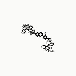 COC(=O)N[C@H](C(=O)N1CCCC1c1nc(-c2ccc3nc(-c4ccc(-c5cnc([C@@H]6CCCN6C(=O)[C@@H](NC(=O)OC)C6CCOCC6)[nH]5)cc4F)ccc3c2)c[nH]1)C1CCOCC1